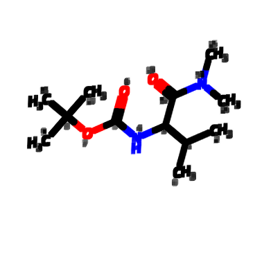 CC(C)C(NC(=O)OC(C)(C)C)C(=O)N(C)C